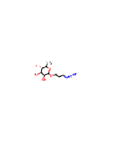 CC1OC(OCCCN=[N+]=[N-])C(O)[C@@H](O)[C@@H]1O